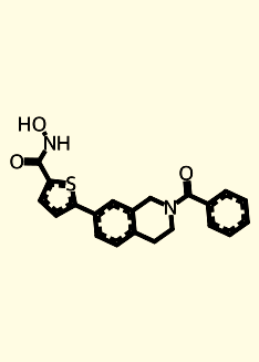 O=C(NO)c1ccc(-c2ccc3c(c2)CN(C(=O)c2ccccc2)CC3)s1